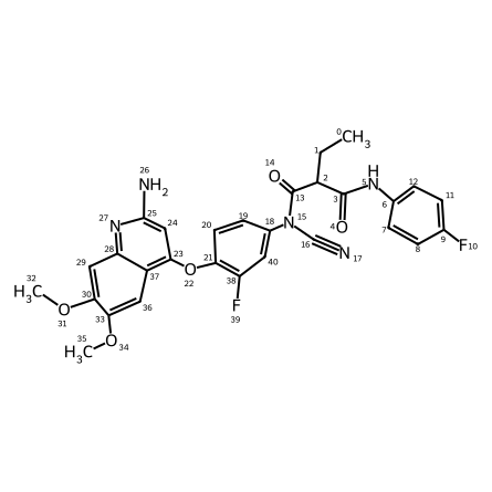 CCC(C(=O)Nc1ccc(F)cc1)C(=O)N(C#N)c1ccc(Oc2cc(N)nc3cc(OC)c(OC)cc23)c(F)c1